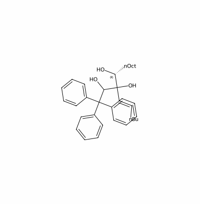 CCCCC=CC(O)(C(O)C(c1ccccc1)(c1ccccc1)c1ccccc1)[C@H](O)CCCCCCCC